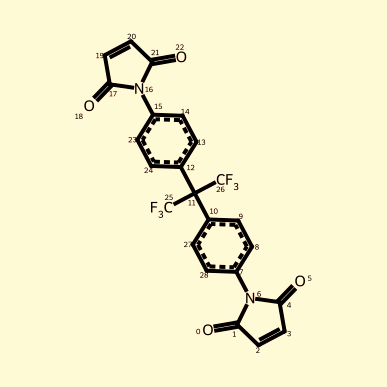 O=C1C=CC(=O)N1c1ccc(C(c2ccc(N3C(=O)C=CC3=O)cc2)(C(F)(F)F)C(F)(F)F)cc1